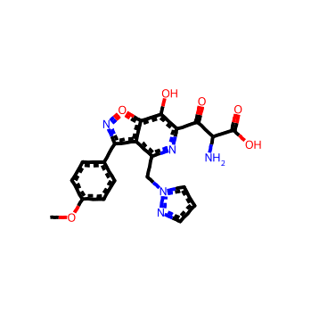 COc1ccc(-c2noc3c(O)c(C(=O)C(N)C(=O)O)nc(Cn4cccn4)c23)cc1